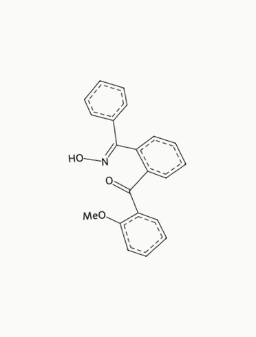 COc1ccccc1C(=O)c1ccccc1C(=NO)c1ccccc1